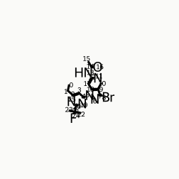 CCc1cc(-n2nc(Br)c3cnc(NC(C)=O)cc32)nc(C(C)(C)F)n1